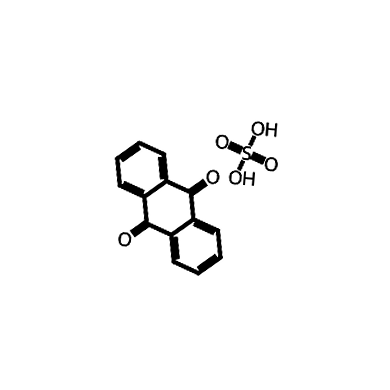 O=C1c2ccccc2C(=O)c2ccccc21.O=S(=O)(O)O